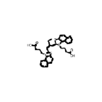 CCC(=Cc1sc2ccc3ccccc3c2[n+]1CCCC(=O)O)C=C1Sc2ccc3ccccc3c2N1CCCC(=O)O